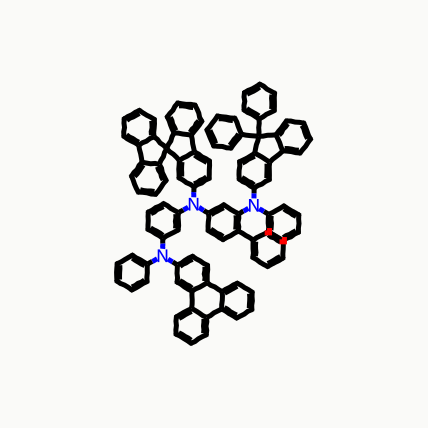 c1ccc(-c2ccc(N(c3cccc(N(c4ccccc4)c4ccc5c6ccccc6c6ccccc6c5c4)c3)c3ccc4c(c3)C3(c5ccccc5-c5ccccc53)c3ccccc3-4)cc2N(c2ccccc2)c2ccc3c(c2)-c2ccccc2C3(c2ccccc2)c2ccccc2)cc1